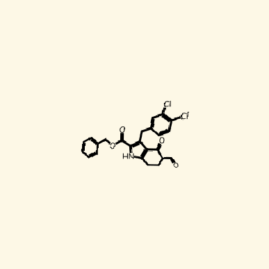 O=CC1CCc2[nH]c(C(=O)OCc3ccccc3)c(Cc3ccc(Cl)c(Cl)c3)c2C1=O